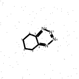 C1CCc2nnnnc2C1